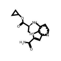 Cc1ccnc2c1[SH](C[C@H](N)C(=O)OC1CC1)C(C(N)=O)=C2